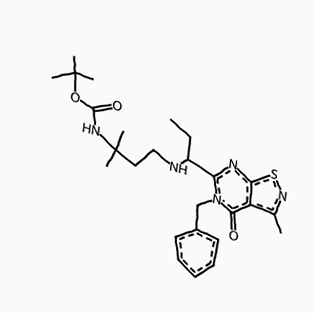 CCC(NCCC(C)(C)NC(=O)OC(C)(C)C)c1nc2snc(C)c2c(=O)n1Cc1ccccc1